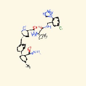 Cc1ccc(-c2ccc(C[C@@H]3CN[C@@H](C(=O)N[C@@H](C)C(=O)NCc4cc(Cl)ccc4-n4cnnn4)C3)cc2)c(C(N)=O)c1